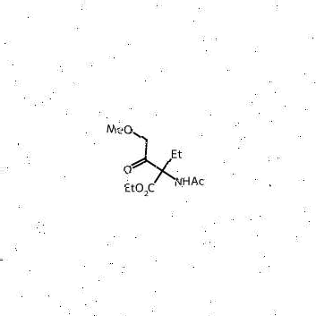 CCOC(=O)C(CC)(NC(C)=O)C(=O)COC